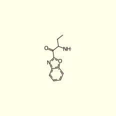 CCC([NH])C(=O)c1nc2ccccc2o1